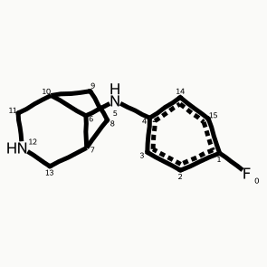 Fc1ccc(NC2C3CCC2CNC3)cc1